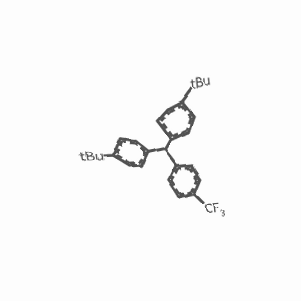 CC(C)(C)c1ccc(C(c2ccc(C(C)(C)C)cc2)c2ccc(C(F)(F)F)cc2)cc1